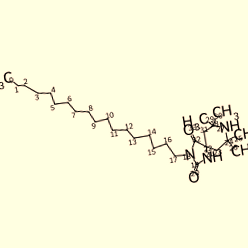 CCCCCCCCCCCCCCCCCCN1C(=O)NC2(CC(C)(C)NC(C)(C)C2)C1=O